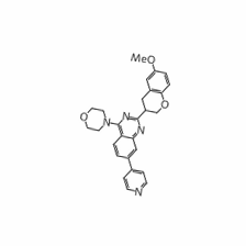 COc1ccc2c(c1)CC(c1nc(N3CCOCC3)c3ccc(-c4ccncc4)cc3n1)CO2